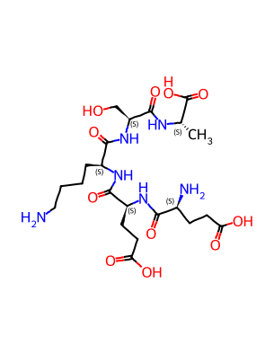 C[C@H](NC(=O)[C@H](CO)NC(=O)[C@H](CCCCN)NC(=O)[C@H](CCC(=O)O)NC(=O)[C@@H](N)CCC(=O)O)C(=O)O